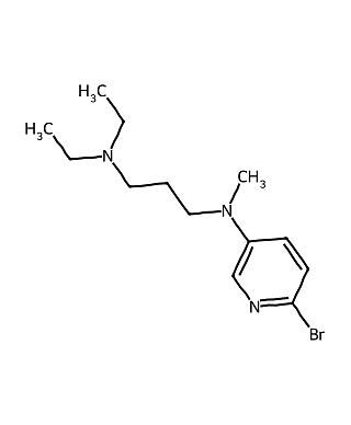 CCN(CC)CCCN(C)c1ccc(Br)nc1